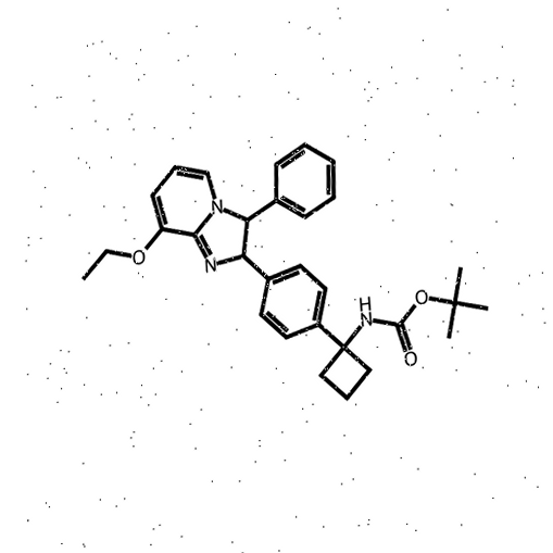 CCOC1=CC=CN2C1=NC(c1ccc(C3(NC(=O)OC(C)(C)C)CCC3)cc1)C2c1ccccc1